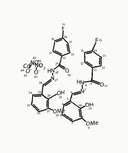 COc1cccc(C=NNC(=O)c2ccc(F)cc2)c1O.COc1cccc(C=NNC(=O)c2ccc(F)cc2)c1O.O=[N+]([O-])[O-].O=[N+]([O-])[O-].[Cd+2]